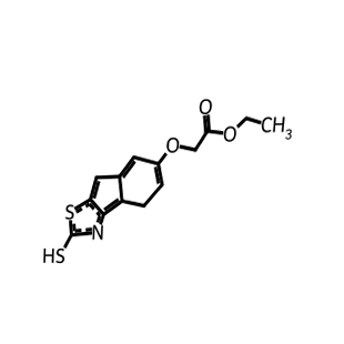 CCOC(=O)COC1=CCC2=c3nc(S)sc3=CC2=C1